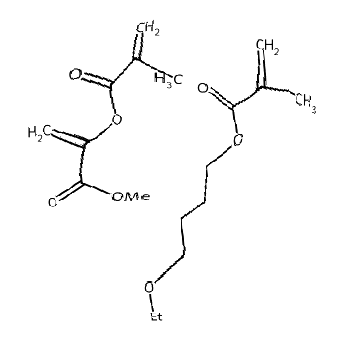 C=C(C)C(=O)OC(=C)C(=O)OC.C=C(C)C(=O)OCCCCOCC